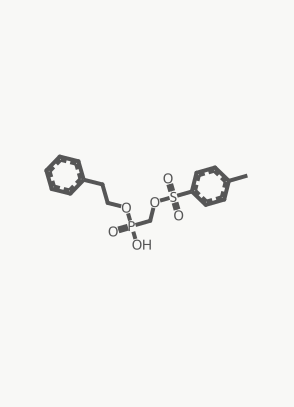 Cc1ccc(S(=O)(=O)OCP(=O)(O)OCCc2ccccc2)cc1